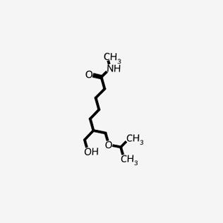 CNC(=O)CCCCC(CO)COC(C)C